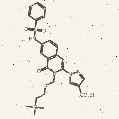 CCOC(=O)c1cnn(-c2nc3ccc(NS(=O)(=O)c4ccccc4)cc3c(=O)n2COCC[Si](C)(C)C)c1